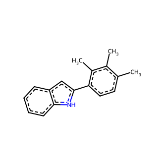 Cc1ccc(-c2cc3ccccc3[nH]2)c(C)c1C